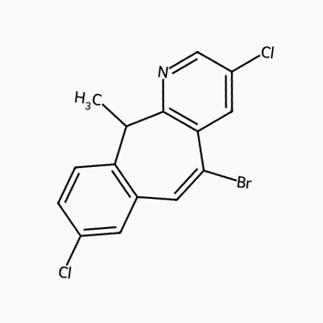 CC1c2ccc(Cl)cc2C=C(Br)c2cc(Cl)cnc21